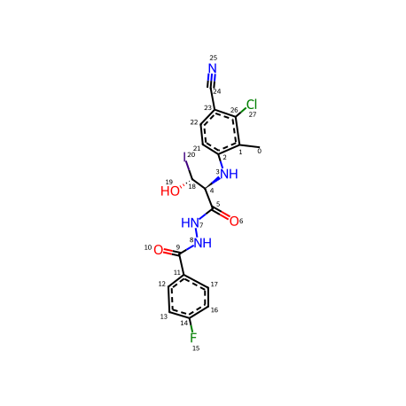 Cc1c(N[C@@H](C(=O)NNC(=O)c2ccc(F)cc2)[C@H](O)I)ccc(C#N)c1Cl